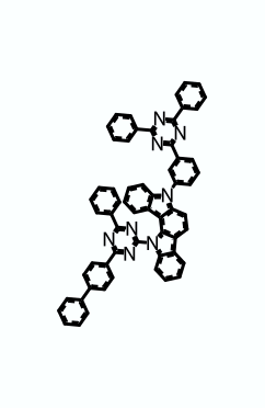 c1ccc(-c2ccc(-c3nc(-c4ccccc4)nc(-n4c5ccccc5c5ccc6c(c7ccccc7n6-c6cccc(-c7nc(-c8ccccc8)nc(-c8ccccc8)n7)c6)c54)n3)cc2)cc1